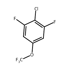 Fc1cc(OC(F)(F)F)cc(F)c1Cl